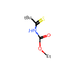 CCOC(=O)NC(=S)C(C)(C)C